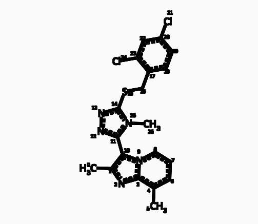 Cc1nc2c(C)cccn2c1-c1nnc(SCc2ccc(Cl)cc2Cl)n1C